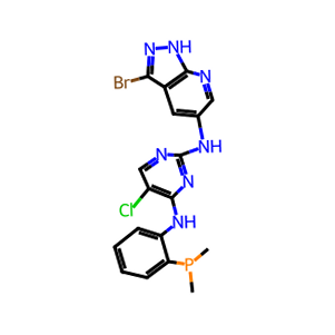 CP(C)c1ccccc1Nc1nc(Nc2cnc3[nH]nc(Br)c3c2)ncc1Cl